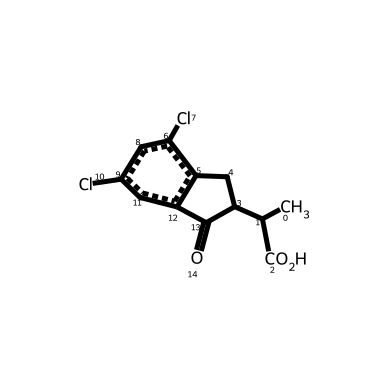 CC(C(=O)O)C1Cc2c(Cl)cc(Cl)cc2C1=O